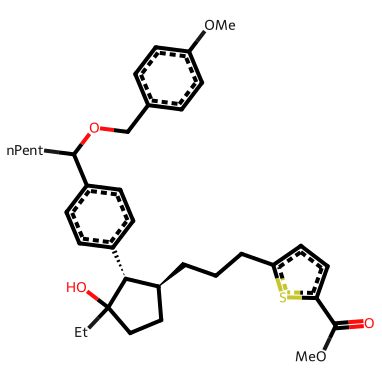 CCCCCC(OCc1ccc(OC)cc1)c1ccc([C@@H]2[C@@H](CCCc3ccc(C(=O)OC)s3)CCC2(O)CC)cc1